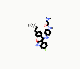 CN(C)CCC(=O)N(C)c1ccc(NC(=C2C(=O)Nc3cc(F)ccc32)c2ccc(CCC(=O)O)cc2)cc1